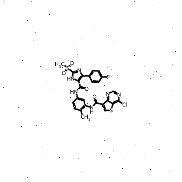 Cc1ccc(NC(=O)c2[nH]c(S(C)(=O)=O)nc2-c2ccc(F)cc2)cc1NC(=O)c1csc2c(Cl)ncnc12